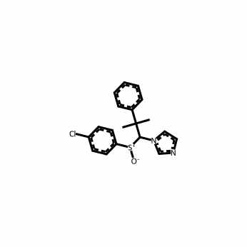 CC(C)(c1ccccc1)C(n1ccnc1)[S+]([O-])c1ccc(Cl)cc1